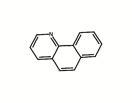 [c]1cc2ccccc2c2ncccc12